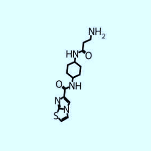 NCCC(=O)NC1CCC(NC(=O)c2cn3ccsc3n2)CC1